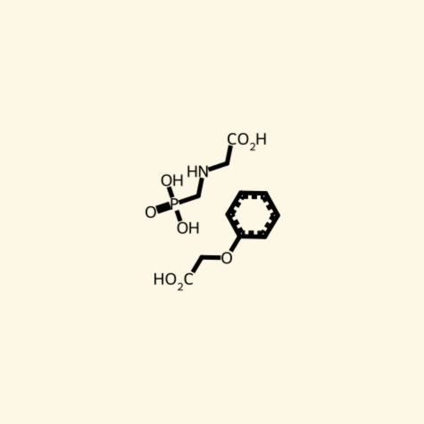 O=C(O)CNCP(=O)(O)O.O=C(O)COc1ccccc1